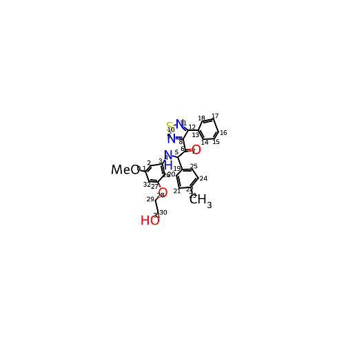 COc1cc(NC(C(=O)c2nsnc2-c2ccccc2)c2ccc(C)cc2)cc(OCCO)c1